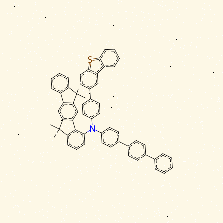 CC1(C)c2ccccc2-c2cc3c(cc21)-c1c(N(c2ccc(-c4ccc(-c5ccccc5)cc4)cc2)c2ccc(-c4ccc5sc6ccccc6c5c4)cc2)cccc1C3(C)C